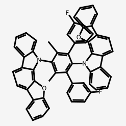 Cc1c(-c2cccc(F)c2)c(-n2c3ccccc3c3ccc4c5ccccc5oc4c32)c(-c2cccc(F)c2)c(C)c1-n1c2ccccc2c2ccc3c4ccccc4oc3c21